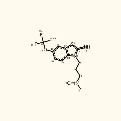 C[S+]([O-])CCCn1c(=N)sc2cc(OC(F)(F)F)ccc21